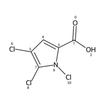 O=C(O)c1cc(Cl)c(Cl)n1Cl